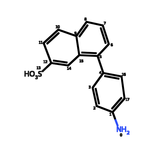 Nc1ccc(-c2cccc3ccc(S(=O)(=O)O)cc23)cc1